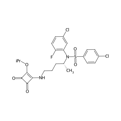 CC(C)Oc1c(NCCC[C@@H](C)N(c2cc(Cl)ccc2F)S(=O)(=O)c2ccc(Cl)cc2)c(=O)c1=O